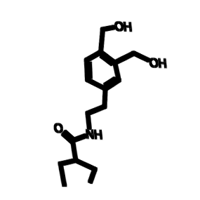 CCC(CC)C(=O)NCCc1ccc(CO)c(CO)c1